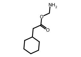 NCOC(=O)CC1CCCCC1